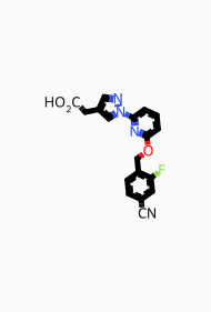 N#Cc1ccc(COc2cccc(-n3cc(CC(=O)O)cn3)n2)c(F)c1